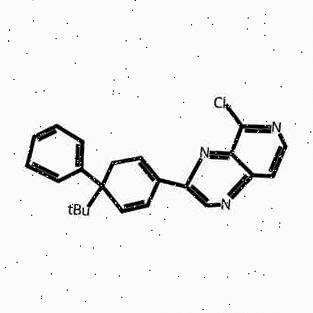 CC(C)(C)C1(c2ccccc2)C=CC(c2cnc3ccnc(Cl)c3n2)=CC1